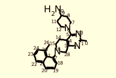 Cc1nc2c(c(N3CCC(N)CC3)n1)CCN(c1cccc3cccc(C)c13)C2